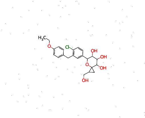 CCOc1ccc(Cc2cc(C3OC4(CC4CO)C(O)C(O)C3O)ccc2Cl)cc1